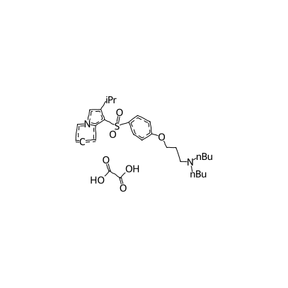 CCCCN(CCCC)CCCOc1ccc(S(=O)(=O)c2c(C(C)C)cn3ccccc23)cc1.O=C(O)C(=O)O